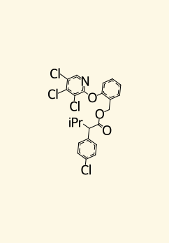 CC(C)C(C(=O)OCc1ccccc1Oc1ncc(Cl)c(Cl)c1Cl)c1ccc(Cl)cc1